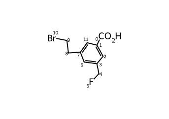 O=C(O)c1cc(CF)cc(CCBr)c1